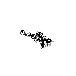 CNC(=O)c1c(-c2ccc(F)cc2)oc2cc3c(cc12)[C@H](C)OC(OCCOCCOC)CN3S(C)(=O)=O